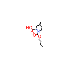 C=C1CCN(C(=O)OCCCC)C(C(=O)O)C1